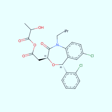 CC(C)CN1C(=O)[C@H](CC(=O)OC(=O)C(C)O)O[C@@H](c2ccccc2Cl)c2cc(Cl)ccc21